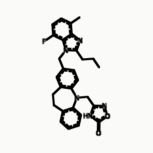 CCCc1nc2c(C)ccc(F)c2n1Cc1ccc2c(c1)CCc1ccccc1N2Cc1noc(=O)[nH]1